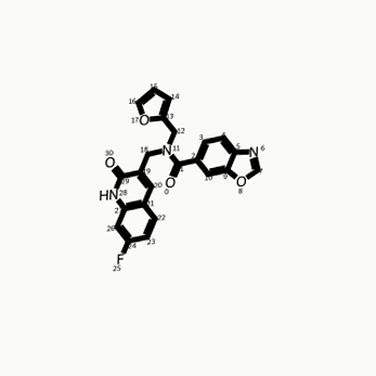 O=C(c1ccc2ncoc2c1)N(Cc1ccco1)Cc1cc2ccc(F)cc2[nH]c1=O